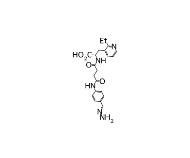 CCc1ncccc1CC(NC(=O)CCC(=O)Nc1ccc(C=NN)cc1)C(=O)O